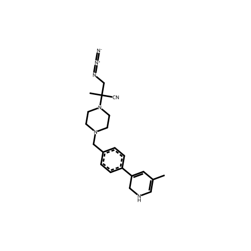 CC1=CNCC(c2ccc(CN3CCN(C(C)(C#N)CN=[N+]=[N-])CC3)cc2)=C1